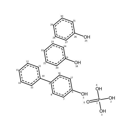 O=P(O)(O)O.Oc1ccc(-c2ccccc2)cc1.Oc1ccccc1.Oc1ccccc1